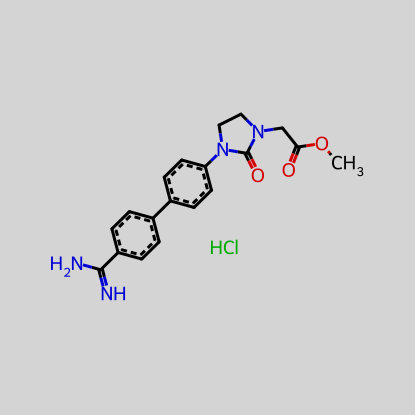 COC(=O)CN1CCN(c2ccc(-c3ccc(C(=N)N)cc3)cc2)C1=O.Cl